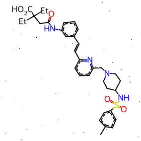 CCC(CC)(CC(=O)Nc1cccc(C=Cc2cccc(CN3CCC(NS(=O)(=O)c4ccc(C)cc4)CC3)n2)c1)C(=O)O